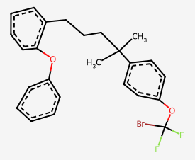 CC(C)(CCCc1ccccc1Oc1ccccc1)c1ccc(OC(F)(F)Br)cc1